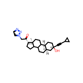 C[C@]12CCC3C(CC[C@@H]4C[C@@](O)(C#CC5CC5)CC[C@H]34)C1CC[C@@H]2C(=O)Cn1ccnn1